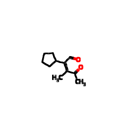 CC(=O)/C(C)=C(\C=O)C1CCCC1